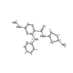 CCCCNc1ccc(C(=O)Nc2ncc(N=O)s2)c(Nc2ccccc2)c1